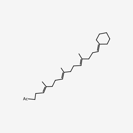 CC(=O)CC/C=C(\C)CC/C=C(\C)CC/C=C(\C)CCC=C1CCCCC1